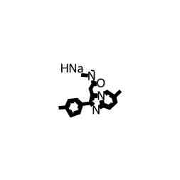 Cc1ccc(-c2nc3ccc(C)cn3c2CC(=O)N(C)C)cc1.[NaH]